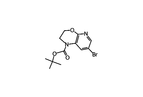 CC(C)(C)OC(=O)N1CCOc2ncc(Br)cc21